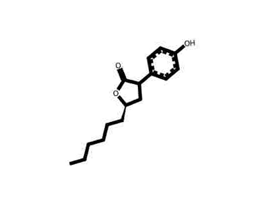 CCCCCC[C@@H]1CC(c2ccc(O)cc2)C(=O)O1